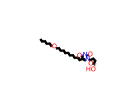 CCCCCCOCCCCCCCCCc1cc2cn([C@@H]3CC[C@H](CO)O3)c(=O)nc2o1